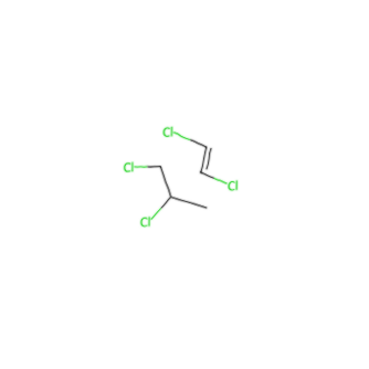 CC(Cl)CCl.Cl/C=C/Cl